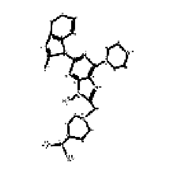 CCc1nc2c(n1-c1nc(N3CCOCC3)c3nc(CN4CCC(N(C)C)CC4)n(C)c3n1)C=CCC2